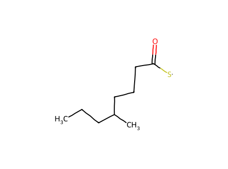 CCCC(C)CCCC(=O)[S]